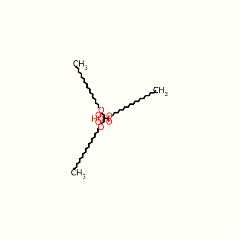 CCCCCCCCCCCCCCCCCCOC(=O)CC(O)(CC(=O)OCCCCCCCCCCCCCCCCCC)C(=O)OCCCCCCCCCCCCCCCCCC